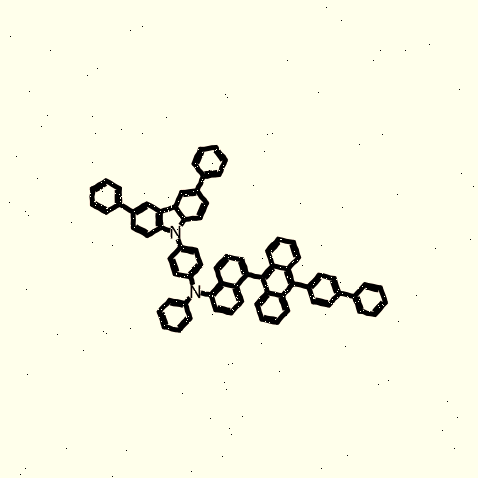 C1=CC2C(C=C1c1ccccc1)c1cc(-c3ccccc3)ccc1N2c1ccc(N(c2ccccc2)c2cccc3c(-c4c5ccccc5c(-c5ccc(-c6ccccc6)cc5)c5ccccc45)cccc23)cc1